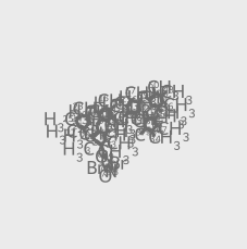 Cc1c(C)c(C)c(P(c2c(C)c(C)c(C)c(C)c2C)c2c(C)c(C)c(C)c(C)c2C)c(C)c1C.Cc1c(C)c(C)c(P(c2c(C)c(C)c(C)c(C)c2C)c2c(C)c(C)c(C)c(C)c2C)c(C)c1C.O=[N][W]([Br])([Br])[N]=O